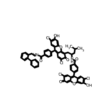 CC(C)CC(Cc1c2oc3cc(O)c(Cl)cc3c(-c3ccc(C(=O)NCCc4ccccc4-c4ccccc4)cc3)c-2cc(Cl)c1=O)NC(=O)c1ccc(-c2c3cc(Cl)c(=O)cc-3oc3cc(O)c(Cl)cc23)cc1